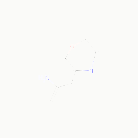 C=C(N)CC1COCC[N]1